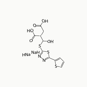 O=C(O)CC(C(=O)O)C(O)Sc1nnc(-c2cccs2)s1.[NaH].[NaH]